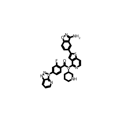 Nc1noc2ccc(-c3cc4c(N(C(=O)c5ccc(-n6nnc7cccnc76)cc5F)[C@@H]5CCCNC5)nccc4s3)cc12